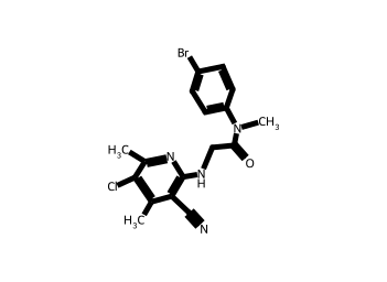 Cc1nc(NCC(=O)N(C)c2ccc(Br)cc2)c(C#N)c(C)c1Cl